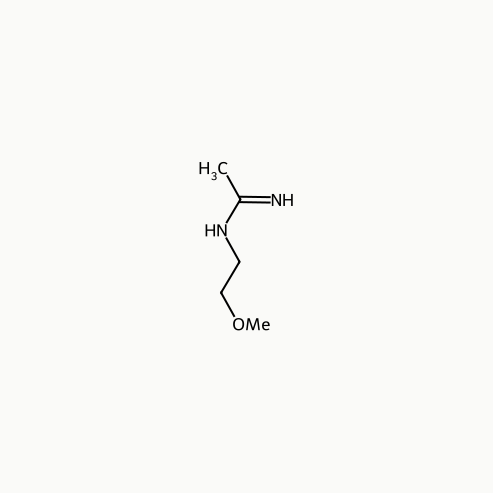 COCCNC(C)=N